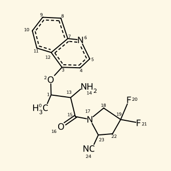 CC(Oc1ccnc2ccccc12)C(N)C(=O)N1CC(F)(F)CC1C#N